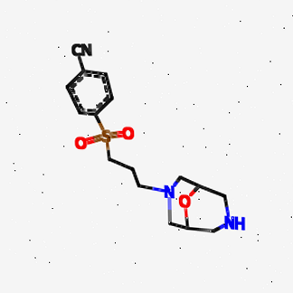 N#Cc1ccc(S(=O)(=O)CCCN2CC3CNCC(C2)O3)cc1